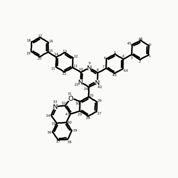 c1ccc(-c2ccc(-c3nc(-c4ccc(-c5ccccc5)cc4)nc(-c4cccc5c4oc4ncc6ccccc6c45)n3)cc2)cc1